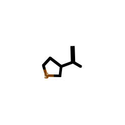 C=C(C)C1CCSC1